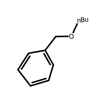 C[CH]CCOCc1ccccc1